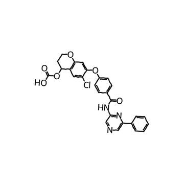 O=C(O)OC1CCOc2cc(Oc3ccc(C(=O)Nc4cncc(-c5ccccc5)n4)cc3)c(Cl)cc21